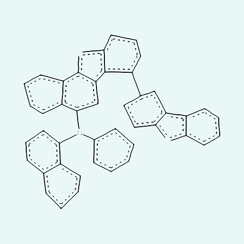 c1ccc(N(c2cccc3ccccc23)c2cc3c(oc4cccc(-c5ccc6sc7ccccc7c6c5)c43)c3ccccc23)cc1